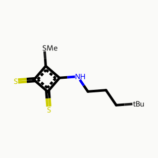 CSc1c(NCCCC(C)(C)C)c(=S)c1=S